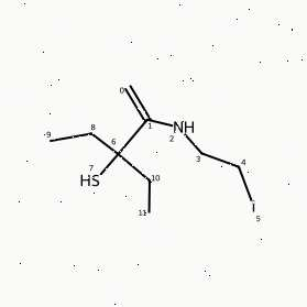 C=C(NCCI)C(S)(CC)CC